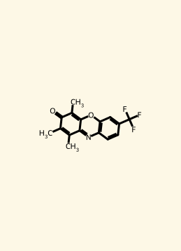 Cc1c2nc3ccc(C(F)(F)F)cc3oc-2c(C)c(=O)c1C